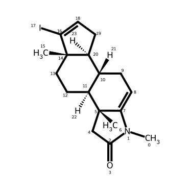 CN1C(=O)C[C@@]2(C)C1=CC[C@@H]1[C@@H]2CC[C@]2(C)C(I)=CC[C@@H]12